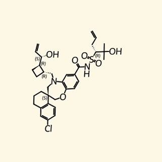 C=CC[C@H](C(C)(C)O)S(=O)(=O)NC(=O)c1ccc2c(c1)N(C[C@@H]1CC[C@H]1[C@@H](O)C=C)C[C@@]1(CCCc3cc(Cl)ccc31)CO2